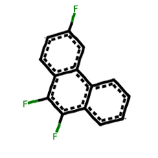 Fc1[c]cc2c(F)c(F)c3c[c]ccc3c2c1